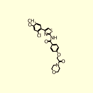 COc1ccc(-c2csc(NC(=O)c3ccc(OCC(=O)N4CCOCC4)cc3)n2)c(Cl)c1